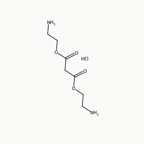 Cl.NCCOC(=O)CC(=O)OCCN